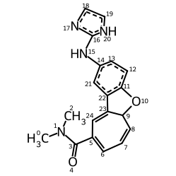 CN(C)C(=O)C1=CC=CC2Oc3ccc(Nc4ncc[nH]4)cc3C2=C1